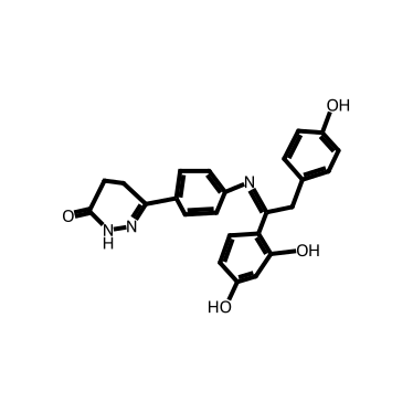 O=C1CCC(c2ccc(N=C(Cc3ccc(O)cc3)c3ccc(O)cc3O)cc2)=NN1